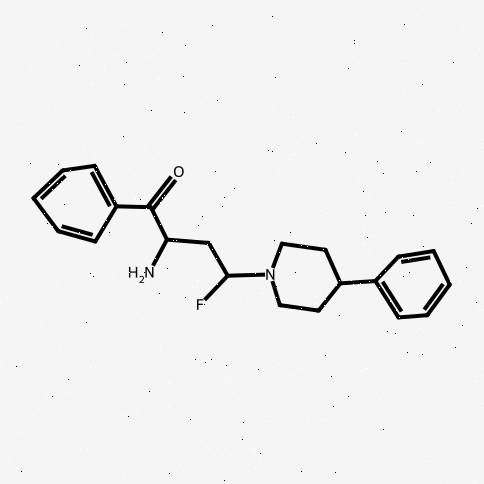 NC(CC(F)N1CCC(c2ccccc2)CC1)C(=O)c1ccccc1